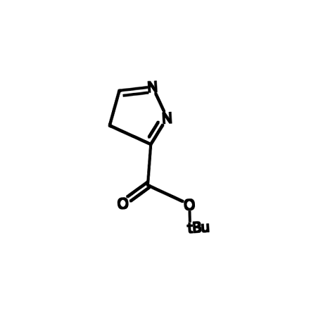 CC(C)(C)OC(=O)C1=NN=CC1